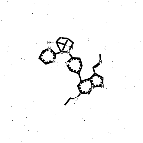 CCOc1cc(-c2ccc(N3CC4C[C@H](C3)[C@@H]4Oc3ncccn3)nc2)c2c(/C=N/C)cnn2c1